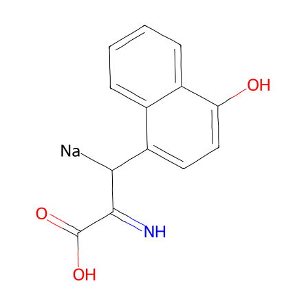 N=C(C(=O)O)[CH]([Na])c1ccc(O)c2ccccc12